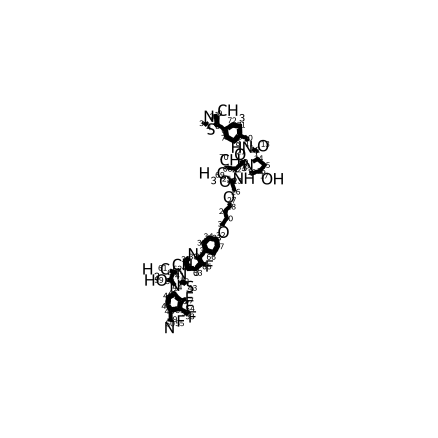 Cc1ncsc1-c1ccc(CNC(=O)[C@@H]2C[C@@H](O)CN2C(=O)[C@@H](NC(=O)COCCCCOc2ccc(-c3ncc(N4C(=S)N(c5ccc(C#N)c(C(F)(F)F)c5F)C(O)C4(C)C)cc3F)cc2)C(C)C)cc1